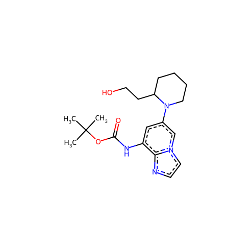 CC(C)(C)OC(=O)Nc1cc(N2CCCCC2CCO)cn2ccnc12